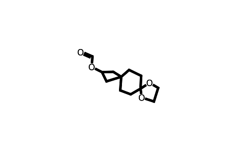 O=COC1CC2(CCC3(CC2)OCCO3)C1